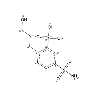 NS(=O)(=O)c1ccc(CCCO)c(S(=O)(=O)O)c1